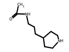 CC(=O)NCCCC1CCNCC1